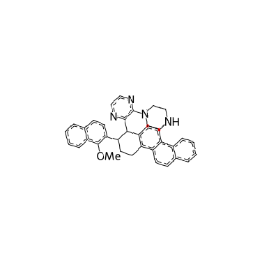 COc1c(C2CCc3c(ccc4c3ccc3ccccc34)C2c2nccnc2N2CCNCC2)ccc2ccccc12